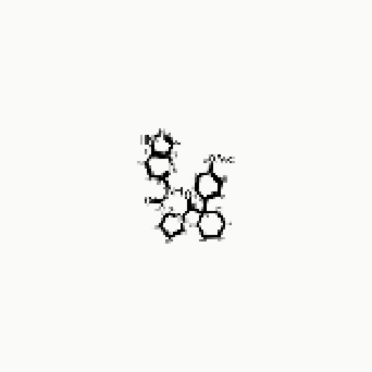 COc1ccc(C2(C(=O)N3CCC[C@@H]3C(=O)Nc3ccc4[nH]ncc4n3)CCCCC2)cc1